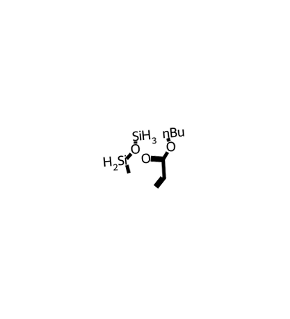 C=CC(=O)OCCCC.C[SiH2]O[SiH3]